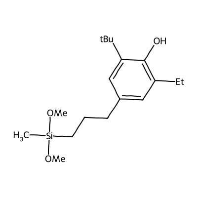 CCc1cc(CCC[Si](C)(OC)OC)cc(C(C)(C)C)c1O